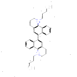 CCCCN1CCCc2cc(-c3cc4c(c5ccccc35)N(CCCC)CCC4)c3ccccc3c21